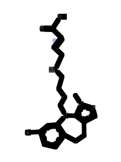 Cn1ncc2c1N(CCCCNC/C=C/C(=O)O)c1cc(Cl)ccc1CC2